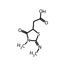 CN=C1SC(CC(=O)O)C(=O)N1C